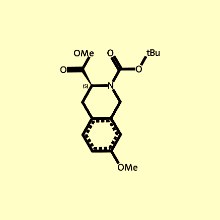 COC(=O)[C@@H]1Cc2ccc(OC)cc2CN1C(=O)OC(C)(C)C